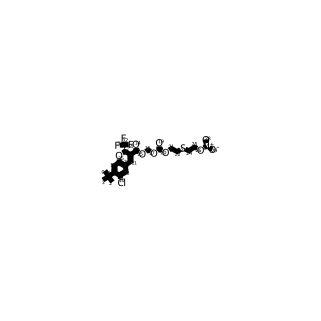 CC(C)(C)c1cc2c(cc1Cl)C=C(C(=O)OCOC(=O)OCCSCCO[N+](=O)[O-])[C@@H](C(F)(F)F)O2